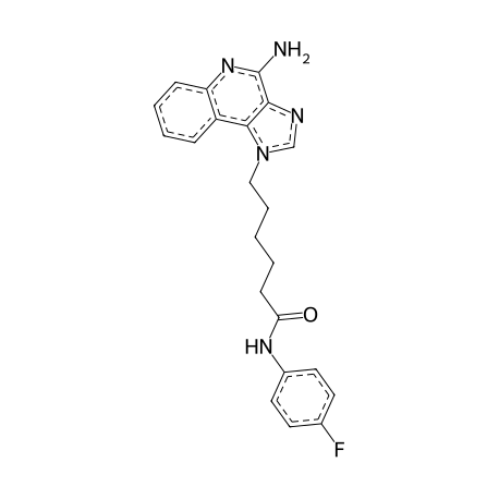 Nc1nc2ccccc2c2c1ncn2CCCCCC(=O)Nc1ccc(F)cc1